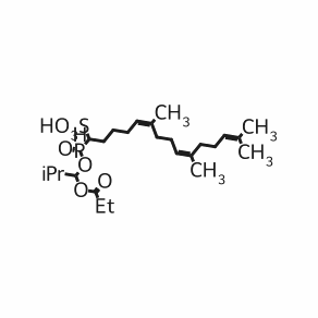 CCC(=O)OC(O[PH](=O)C(CCCC=C(C)CCC=C(C)CCC=C(C)C)S(=O)(=O)O)C(C)C